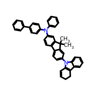 CC1(C)c2cc(N(c3ccccc3)c3ccc(-c4ccccc4)cc3)ccc2-c2ccc(-n3c4c(c5ccccc53)CCC=C4)cc21